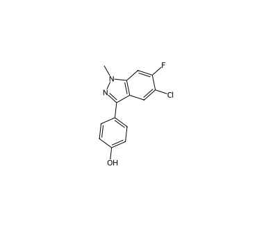 Cn1nc(-c2ccc(O)cc2)c2cc(Cl)c(F)cc21